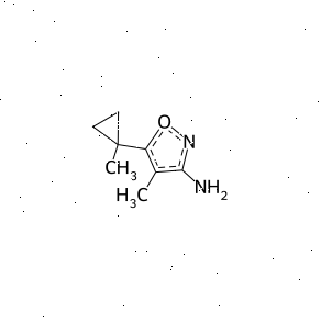 Cc1c(N)noc1C1(C)CC1